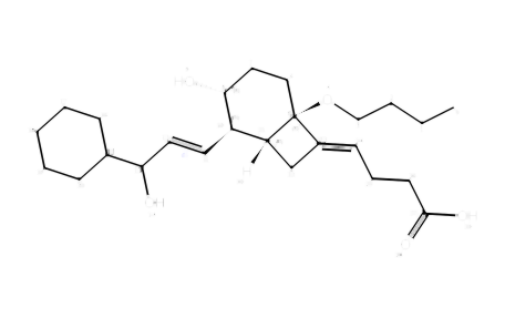 CCCCO[C@]12CC[C@@H](O)[C@H](/C=C/C(O)C3CCCCC3)[C@H]1CC2=CCCC(=O)O